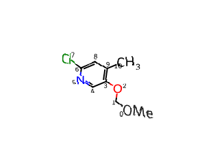 COCOc1cnc(Cl)cc1C